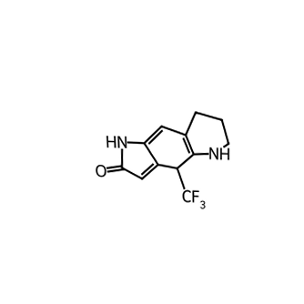 O=C1C=C2C(=CC3=C(NCCC3)C2C(F)(F)F)N1